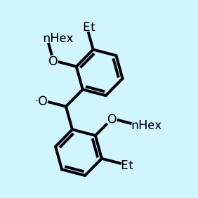 CCCCCCOc1c(CC)cccc1C([O])c1cccc(CC)c1OCCCCCC